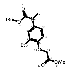 CCc1cc(N(C)C(=O)OC(C)(C)C)ccc1OCC(=O)OC